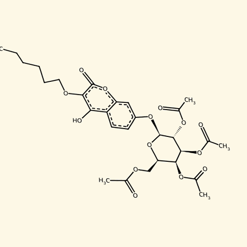 CCCCCCOc1c(O)c2ccc(O[C@@H]3O[C@H](COC(C)=O)[C@H](OC(C)=O)[C@H](OC(C)=O)[C@H]3OC(C)=O)cc2oc1=O